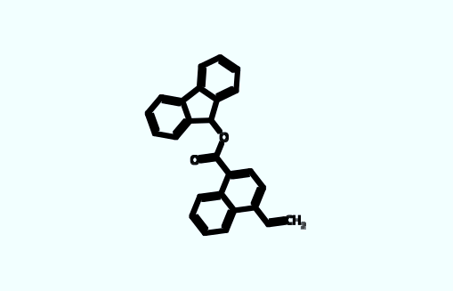 C=Cc1ccc(C(=O)OC2c3ccccc3-c3ccccc32)c2ccccc12